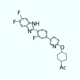 CC(=O)C1CCC(Oc2ccc(-c3ccc(-c4nc5cc(F)c(F)cc5[nH]4)c(F)c3)cn2)CC1